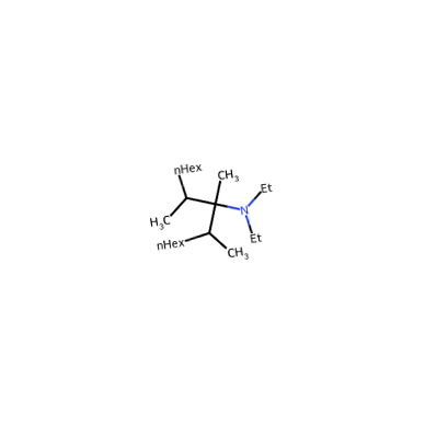 CCCCCCC(C)C(C)(C(C)CCCCCC)N(CC)CC